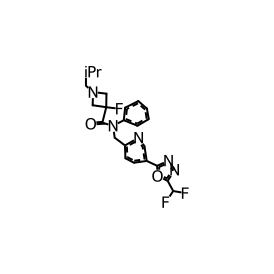 CC(C)CN1CC(F)(C(=O)N(Cc2ccc(-c3nnc(C(F)F)o3)cn2)c2ccccc2)C1